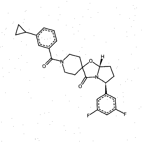 O=C(c1cccc(C2CC2)c1)N1CCC2(CC1)O[C@@H]1CC[C@@H](c3cc(F)cc(F)c3)N1C2=O